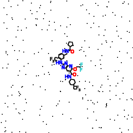 Cn1c(Nc2cc(CNC(=O)C3CCCC3)ccc2C(F)(F)F)nc2cc(C(=O)N[C@H]3CC[C@H](C(F)(F)F)CC3)c(OCC(F)F)nc21